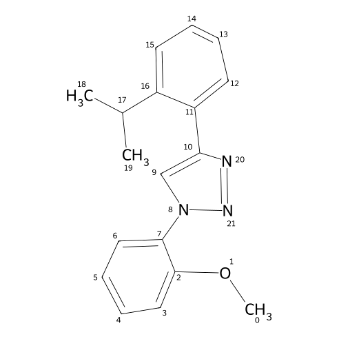 COc1ccccc1-n1cc(-c2ccccc2C(C)C)nn1